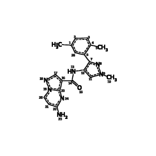 Cc1ccc(C)c(-c2nn(C)cc2NC(=O)c2cnn3ccc(N)nc23)c1